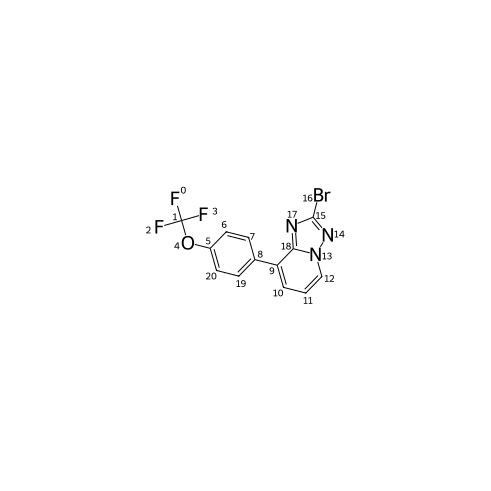 FC(F)(F)Oc1ccc(-c2cccn3nc(Br)nc23)cc1